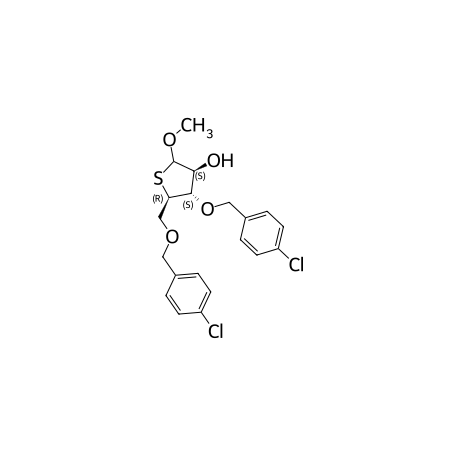 COC1S[C@H](COCc2ccc(Cl)cc2)[C@@H](OCc2ccc(Cl)cc2)[C@@H]1O